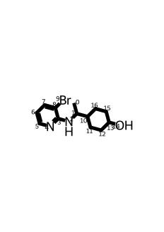 CC(Nc1ncccc1Br)C1CCC(O)CC1